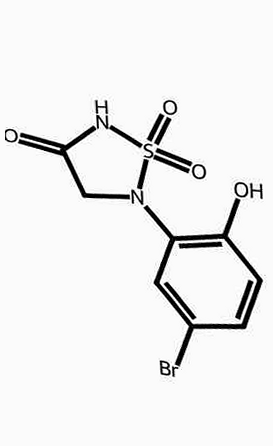 O=C1CN(c2cc(Br)ccc2O)S(=O)(=O)N1